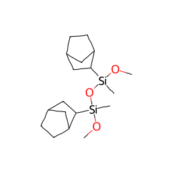 CO[Si](C)(O[Si](C)(OC)C1CC2CCC1C2)C1CC2CCC1C2